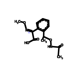 CO/N=C(/C(=O)O)c1ccccc1C(C)ONC(C)=O